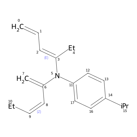 C=C/C=C(\CC)N(C(=C)/C=C\CC)c1ccc(C(C)C)cc1